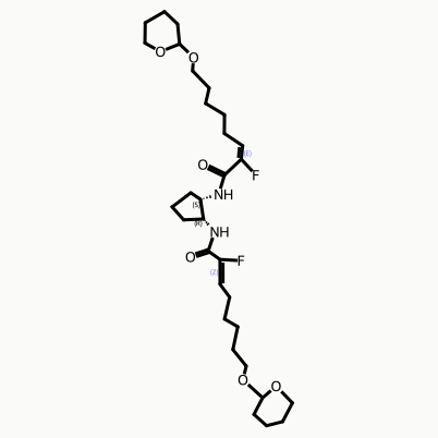 O=C(N[C@@H]1CCC[C@@H]1NC(=O)/C(F)=C\CCCCCOC1CCCCO1)/C(F)=C/CCCCCOC1CCCCO1